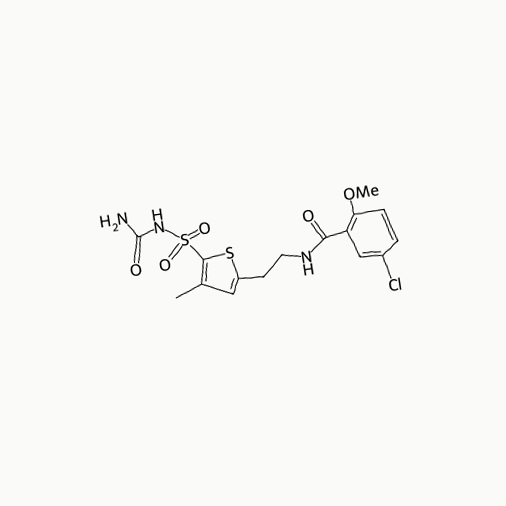 COc1ccc(Cl)cc1C(=O)NCCc1cc(C)c(S(=O)(=O)NC(N)=O)s1